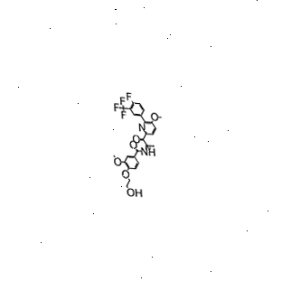 COc1cc(C(=O)N[C@H](C)C(=O)c2ccc(OC)c(-c3ccc(F)c(C(F)(F)F)c3)n2)ccc1OCCO